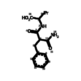 CC(C)C(NC(=O)C(Cc1ccccc1)C(N)=O)C(=O)O